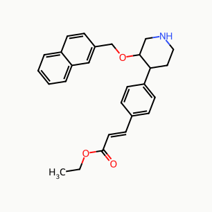 CCOC(=O)C=Cc1ccc(C2CCNCC2OCc2ccc3ccccc3c2)cc1